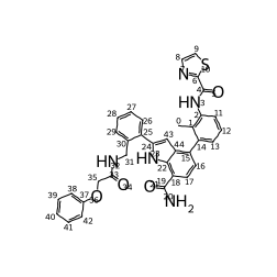 Cc1c(NC(=O)c2nccs2)cccc1-c1ccc(C(N)=O)c2[nH]c(-c3ccccc3CNC(=O)COc3ccccc3)cc12